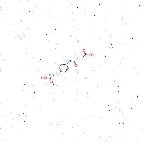 O=C(O)CCC(=O)Nc1ccc(CNC(=O)O)cc1